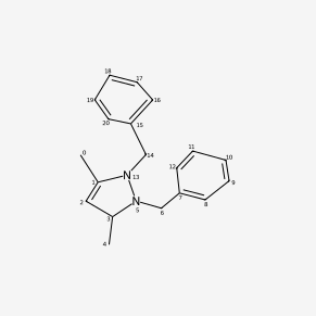 CC1=CC(C)N(Cc2ccccc2)N1Cc1ccccc1